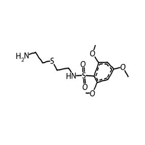 COc1cc(OC)c(S(=O)(=O)NCCSCCN)c(OC)c1